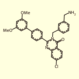 COc1cc(OC)cc(-c2ccc(-c3nc4cc(Cl)ccc4c(=O)n3Cc3cccc(CN)c3)cc2)c1